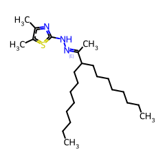 CCCCCCCCC(CCCCCCCC)/C(C)=N/Nc1nc(C)c(C)s1